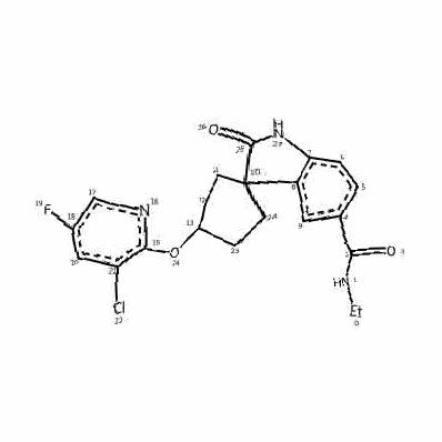 CCNC(=O)c1ccc2c(c1)C1(CCC(Oc3ncc(F)cc3Cl)CC1)C(=O)N2